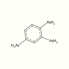 [AsH2]c1ccc([AsH2])c([AsH2])c1